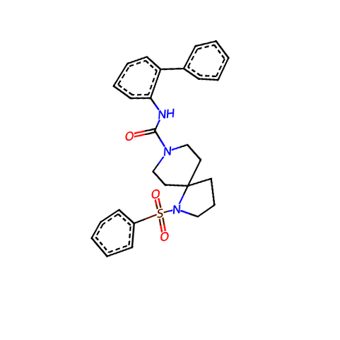 O=C(Nc1ccccc1-c1ccccc1)N1CCC2(CCCN2S(=O)(=O)c2ccccc2)CC1